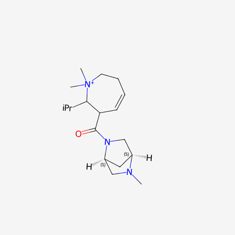 CC(C)C1C(C(=O)N2C[C@@H]3C[C@H]2CN3C)C=CCC[N+]1(C)C